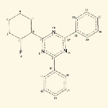 FC1CCCCC1c1nc(-c2ccccc2)nc(-c2ccccc2)n1